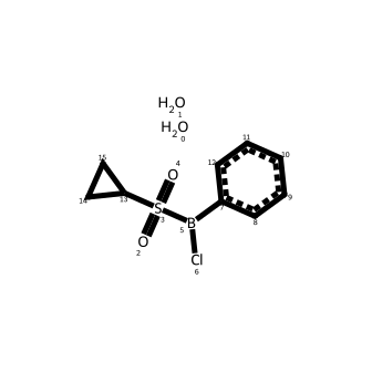 O.O.O=S(=O)(B(Cl)c1ccccc1)C1CC1